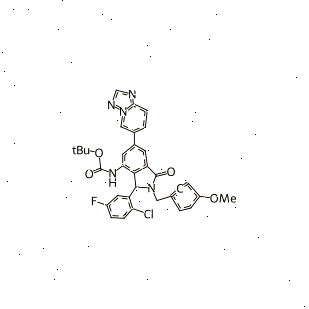 COc1ccc(CN2C(=O)c3cc(-c4ccc5ncnn5c4)cc(NC(=O)OC(C)(C)C)c3C2c2cc(F)ccc2Cl)cc1